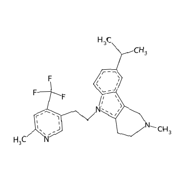 Cc1cc(C(F)(F)F)c(CCn2c3c(c4cc(C(C)C)ccc42)CN(C)CC3)cn1